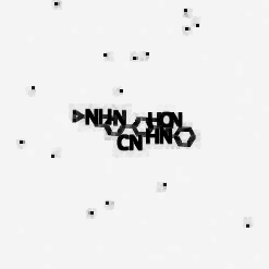 N#Cc1cc(CNC2CC2)cnc1-c1ccc(C(=O)Nc2ccccc2N)cc1